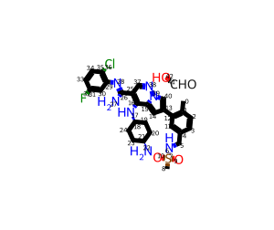 Cc1ccc(CNS(C)(=O)=O)cc1-c1cc2c(N[C@H]3CC[C@H](N)CC3)c(C(N)=Nc3cc(F)ccc3Cl)cnn2c1.O=CO